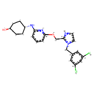 O[C@H]1CC[C@H](Nc2cccc(OCc3nccn3Cc3cc(Cl)cc(Cl)c3)n2)CC1